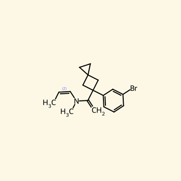 C=C(N(C)/C=C\C)C1(c2cccc(Br)c2)CC2(CC2)C1